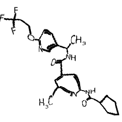 Cc1cc(C(=O)NC(C)c2ccc(OCC(F)(F)F)nc2)cc(NC(=O)C2CCCC2)n1